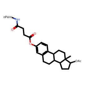 CCCCCNC(=O)CCC(=O)Oc1ccc2c(c1)CCC1C2CCC2(C)C(OC(C)=O)CCC12